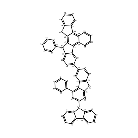 c1ccc(-c2nc(-n3c4ccccc4c4ccccc43)nc3oc4ccc(-c5ccc6c(c5)c5c7ccccc7c7c8ccccc8sc7c5n6-c5ccccc5)cc4c23)cc1